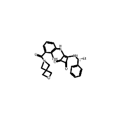 CC[C@@H](Nc1c(Nc2cccc(C(=O)N3CC4(COC4)C3)c2O)c(=O)c1=O)c1ccccc1